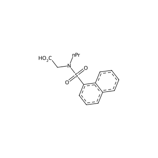 CCCN(CC(=O)O)S(=O)(=O)c1cccc2ccccc12